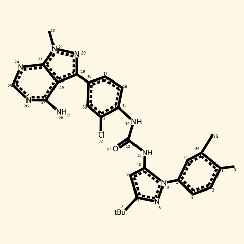 Cc1ccc(-n2nc(C(C)(C)C)cc2NC(=O)Nc2ccc(-c3nn(C)c4ncnc(N)c34)cc2Cl)cc1C